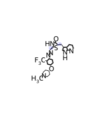 CN1CCC(Oc2ccc(N=N/C=c3/[nH]c(=O)/c(=C/c4c[nH]c5ncccc45)s3)c(C(F)(F)F)c2)CC1